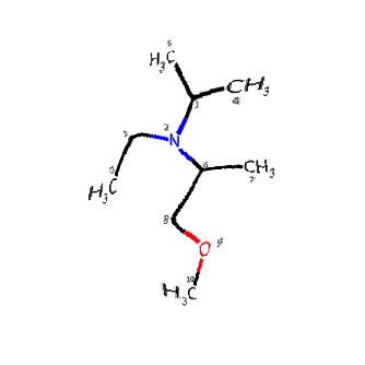 CCN(C(C)C)C(C)COC